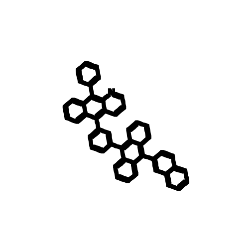 c1ccc(-c2c3ccccc3c(-c3cccc(-c4c5ccccc5c(-c5ccc6ccccc6c5)c5ccccc45)c3)c3cccnc23)cc1